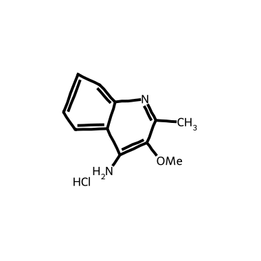 COc1c(C)nc2ccccc2c1N.Cl